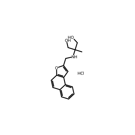 CC(CO)(CO)NCc1cc2c(ccc3ccccc32)o1.Cl